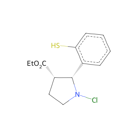 CCOC(=O)[C@H]1CCN(Cl)[C@H]1c1ccccc1S